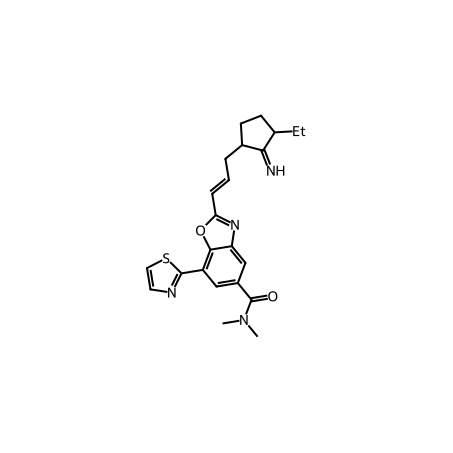 CCC1CCC(C/C=C/c2nc3cc(C(=O)N(C)C)cc(-c4nccs4)c3o2)C1=N